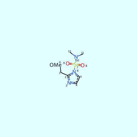 COCc1nccn1S(=O)(=O)N(C)C